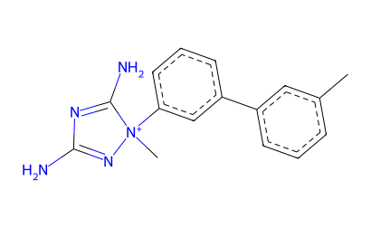 Cc1cccc(-c2cccc([N+]3(C)N=C(N)N=C3N)c2)c1